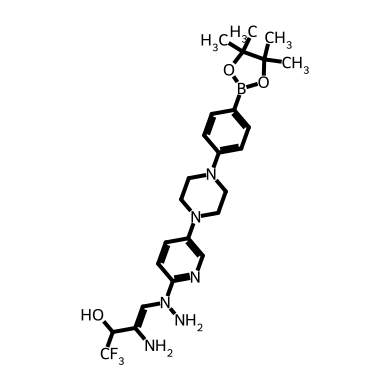 CC1(C)OB(c2ccc(N3CCN(c4ccc(N(N)/C=C(\N)C(O)C(F)(F)F)nc4)CC3)cc2)OC1(C)C